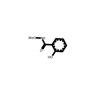 CONC(=O)c1ccccc1O